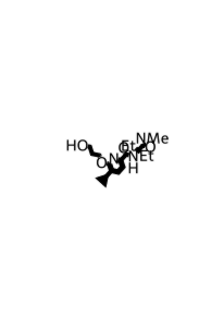 CCC(CC)(NC(=O)c1ccc(C2CC2)c(OCCCO)n1)C(=O)NC